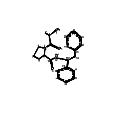 CC(C)[C@H](C)C(=O)N1CCCC1C(=O)N[C@@H](Cc1ccccn1)c1ccccc1